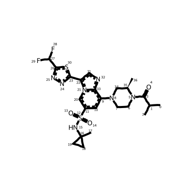 CC(C)C(=O)N1CCN(c2cc(S(=O)(=O)NC3(C)CC3)cn3c(-c4nnc(C(F)F)s4)cnc23)C[C@H]1C